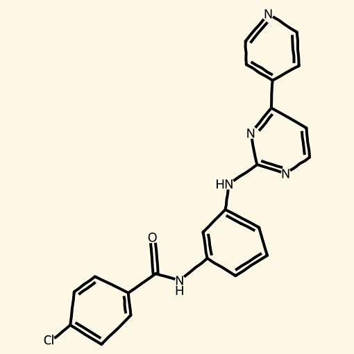 O=C(Nc1cccc(Nc2nccc(-c3ccncc3)n2)c1)c1ccc(Cl)cc1